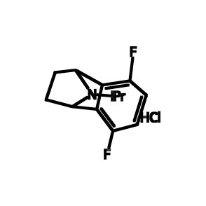 CC(C)N1C2CCC1c1c(F)ccc(F)c12.Cl